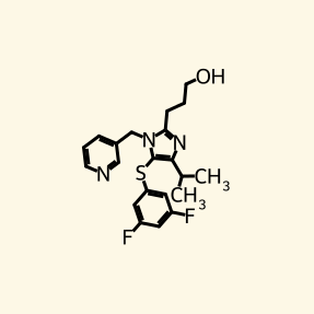 CC(C)c1nc(CCCO)n(Cc2cccnc2)c1Sc1cc(F)cc(F)c1